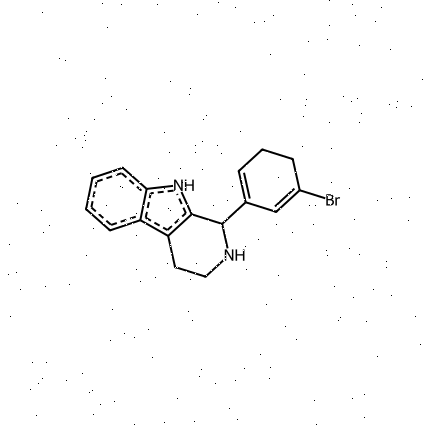 BrC1=CC(C2NCCc3c2[nH]c2ccccc32)=CCC1